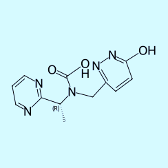 C[C@H](c1ncccn1)N(Cc1ccc(O)nn1)C(=O)O